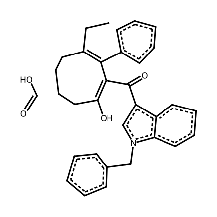 CCC1=C(c2ccccc2)C(C(=O)c2cn(Cc3ccccc3)c3ccccc23)=C(O)CCCC1.O=CO